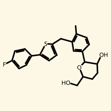 Cc1ccc(C2OC(CO)CCC2O)cc1Cc1ccc(-c2ccc(F)cc2)s1